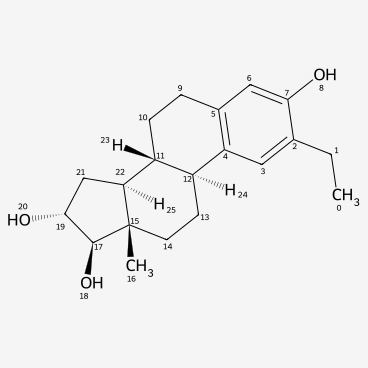 CCc1cc2c(cc1O)CC[C@@H]1[C@@H]2CC[C@]2(C)[C@@H](O)[C@H](O)C[C@@H]12